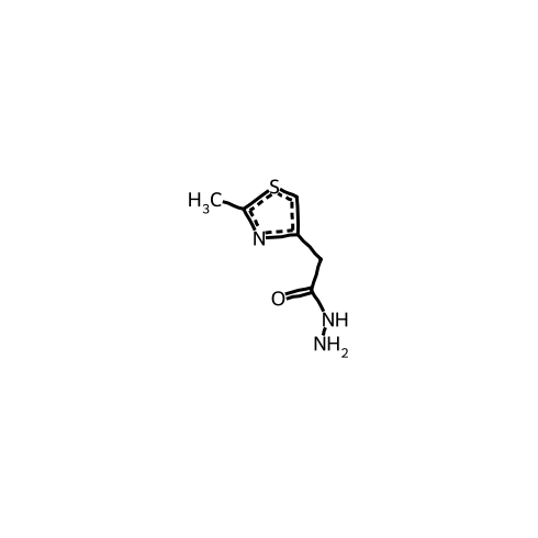 Cc1nc(CC(=O)NN)cs1